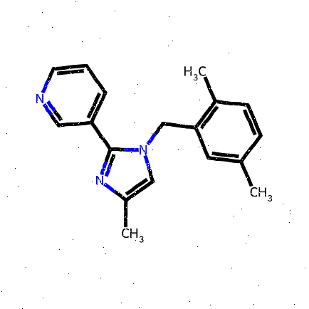 Cc1ccc(C)c(Cn2cc(C)nc2-c2cccnc2)c1